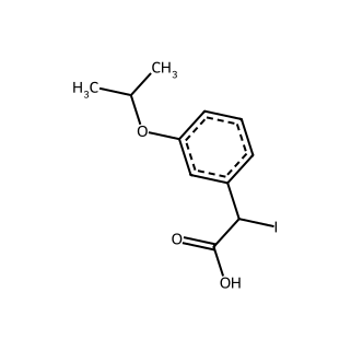 CC(C)Oc1cccc(C(I)C(=O)O)c1